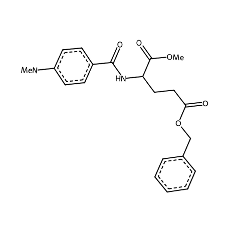 CNc1ccc(C(=O)NC(CCC(=O)OCc2ccccc2)C(=O)OC)cc1